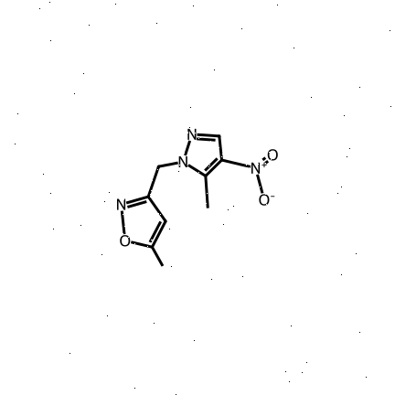 Cc1cc(Cn2ncc([N+](=O)[O-])c2C)no1